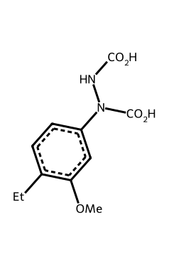 CCc1ccc(N(NC(=O)O)C(=O)O)cc1OC